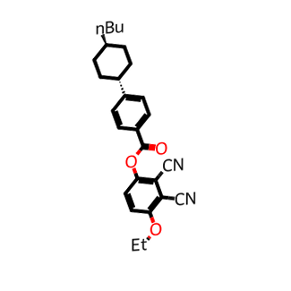 CCCC[C@H]1CC[C@H](c2ccc(C(=O)Oc3ccc(OCC)c(C#N)c3C#N)cc2)CC1